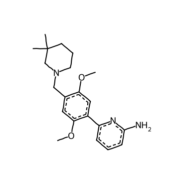 COc1cc(-c2cccc(N)n2)c(OC)cc1CN1CCCC(C)(C)C1